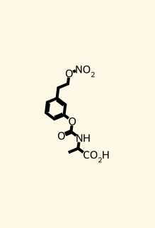 CC(NC(=O)Oc1cccc(CCO[N+](=O)[O-])c1)C(=O)O